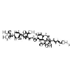 CC=CC=CC(=O)N1CCc2ccc(OCCc3nc(-c4ccc(N(C)C)cc4)oc3C)cc2C1C(=O)O